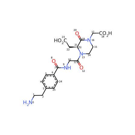 NCCc1ccc(C(=O)NCC(=O)N2CCN(CC(=O)O)C(=O)[C@@H]2CC(=O)O)cc1